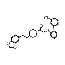 O=C(COc1ccccc1-c1cccc(Cl)c1)N1CCC(CCc2ccc3c(c2)OCO3)CC1